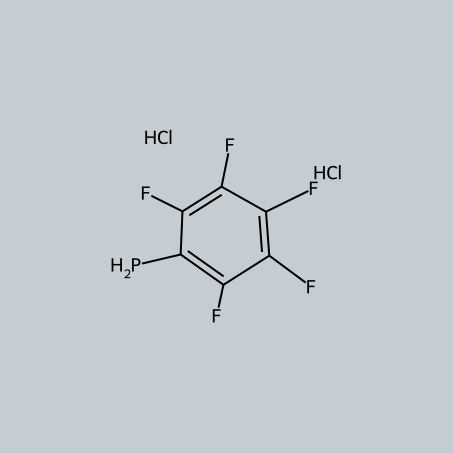 Cl.Cl.Fc1c(F)c(F)c(P)c(F)c1F